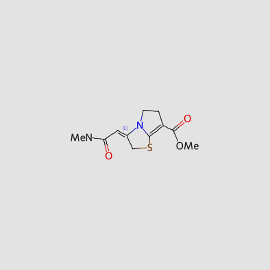 CNC(=O)/C=C1\CSC2=C(C(=O)OC)CCN21